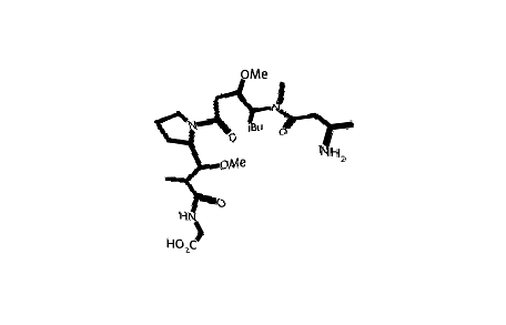 CCC(C)C(C(CC(=O)N1CCCC1C(OC)C(C)C(=O)NCC(=O)O)OC)N(C)C(=O)CC(C)N